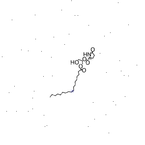 CCCCCCCC/C=C\CCCCCCCC(=O)OCC(CO)OC(=O)[C@@H]1CCC(=O)N1